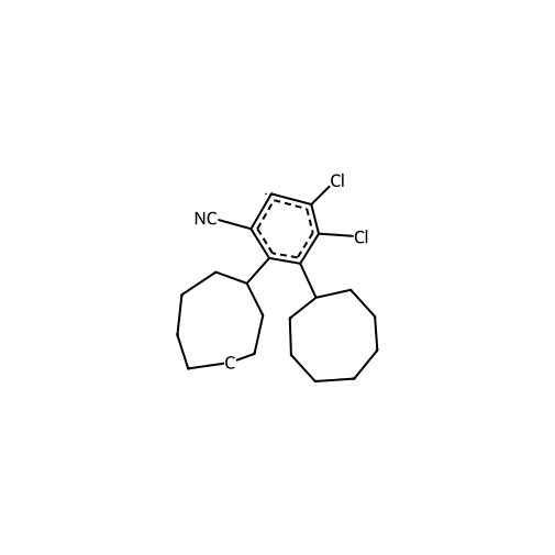 N#Cc1[c]c(Cl)c(Cl)c(C2CCCCCCC2)c1C1CCCCCCC1